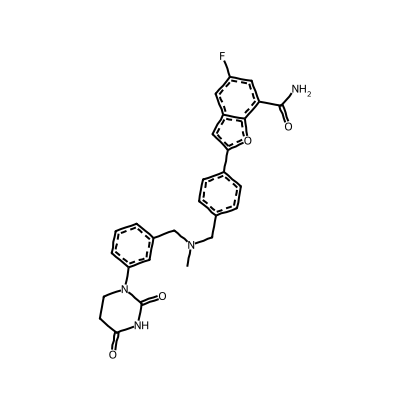 CN(Cc1ccc(-c2cc3cc(F)cc(C(N)=O)c3o2)cc1)Cc1cccc(N2CCC(=O)NC2=O)c1